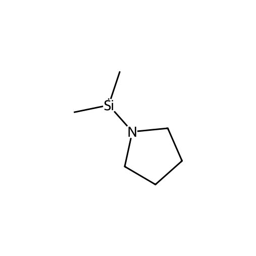 C[Si](C)N1CCCC1